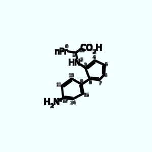 CCCC(Nc1ccccc1-c1ccc(N)cc1)C(=O)O